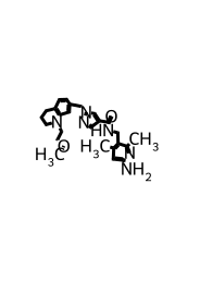 COCCN1CCCc2ccc(Cn3cc(C(=O)NCc4c(C)cc(N)nc4C)cn3)cc21